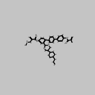 C=C(C)C(=O)Oc1ccc(-c2ccc(-c3ccc(OC(=O)C(=C)COC)cc3C3OCC(C4CCC(CCC)CC4)CO3)cc2)cc1